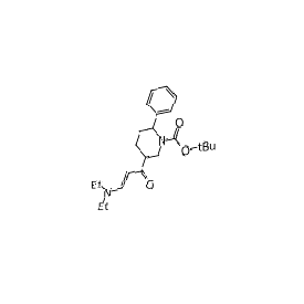 CCN(/C=C/C(=O)C1CCC(c2ccccc2)N(C(=O)OC(C)(C)C)C1)CC